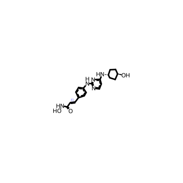 O=C(/C=C/c1ccc(Nc2nccc(N[C@H]3CC[C@H](O)CC3)n2)cc1)NO